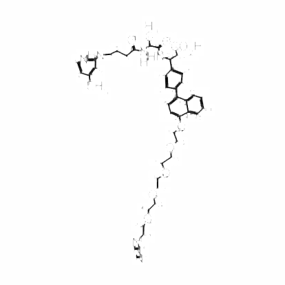 Cc1ccnc(NCCCC(=O)NC(C)C(=O)NC(CC(=O)O)c2ccc(-c3ccc(OCCOCCOCCOCCOCCN=[N+]=[N-])c4ccccc34)cc2)c1